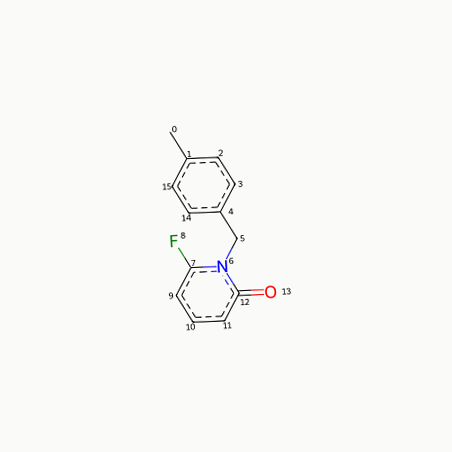 Cc1ccc(Cn2c(F)cccc2=O)cc1